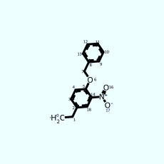 [CH2]Cc1ccc(OCc2ccccc2)c([N+](=O)[O-])c1